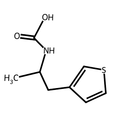 CC(Cc1ccsc1)NC(=O)O